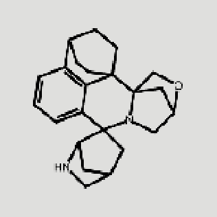 c1cc2c3c(c1)C1(CC4CNC1C4)N1CC4CC1(CO4)C31CCC2CC1